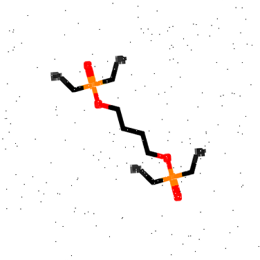 CC(C)CP(=O)(CC(C)C)OCCCCOP(=O)(CC(C)C)CC(C)C